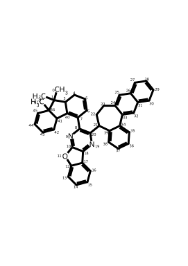 CC1(C)C2CC=CC(c3nc4oc5ccccc5c4nc3C3CCc4cc5ccccc5cc4-c4ccccc43)=C2C2C=CC=CC21C